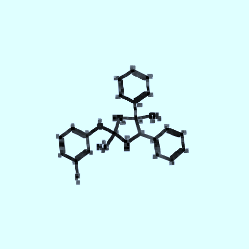 CC1(Oc2cccc(F)c2)NC(c2ccccc2)C(C)(c2ccccc2)N1